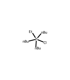 CCCCP(Cl)(CC)(CCCC)CCCC